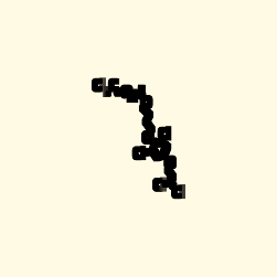 CC(=NOCC(Cl)(Cl)Cl)OCCCCOc1c(Cl)cc(OCC=C(Cl)Cl)cc1Cl